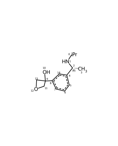 CC(C)N[C@H](C)c1cccc(C2(O)COC2)c1